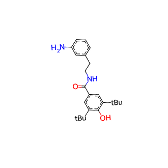 CC(C)(C)c1cc(C(=O)NCCc2cccc(N)c2)cc(C(C)(C)C)c1O